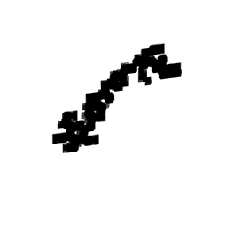 COP(=O)(O)OCC(C)(CO)COCc1cn(CC(=O)Nc2ccc(O[C@@H]3OC(CO)[C@H](O)C(O)[C@@H]3O)cc2)nn1